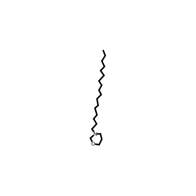 CCCCCCCCCCCCCCCCCN1CCCOC1